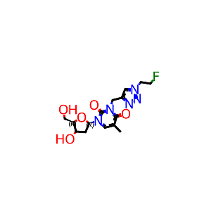 Cc1cn([C@H]2CC(O)[C@@H](CO)O2)c(=O)n(Cc2cn(CCF)nn2)c1=O